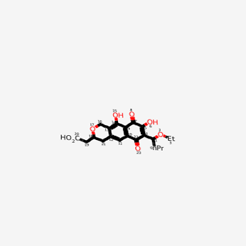 CCCC(OCC)C1=C(O)C(=O)c2c(cc3c(c2O)COC(CC(=O)O)C3)C1=O